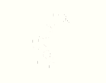 CC(COC(=O)OCOC(=O)C1=Cc2cc(Cl)c(C(C)(C)C)cc2O[C@@H]1C(F)(F)F)O[N+](=O)[O-]